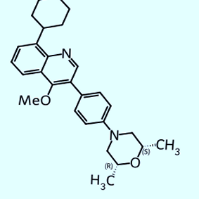 COc1c(-c2ccc(N3C[C@@H](C)O[C@@H](C)C3)cc2)cnc2c(C3CCCCC3)cccc12